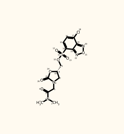 CN(C)C(=O)CN1C[C@@H](COS(=O)(=O)c2ccc(Cl)c3nonc23)OC1=O